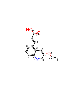 COc1cnc2cccc(/C=C/C(=O)O)c2c1